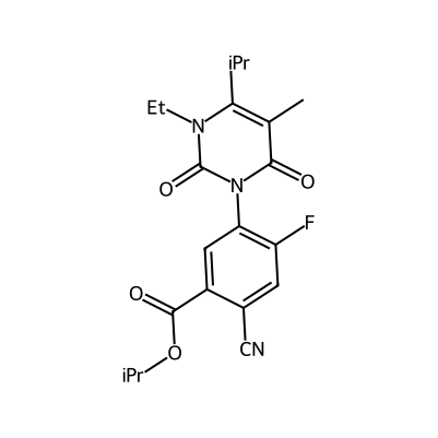 CCn1c(C(C)C)c(C)c(=O)n(-c2cc(C(=O)OC(C)C)c(C#N)cc2F)c1=O